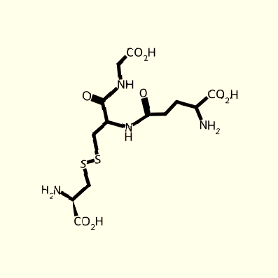 NC(CCC(=O)NC(CSSC[C@H](N)C(=O)O)C(=O)NCC(=O)O)C(=O)O